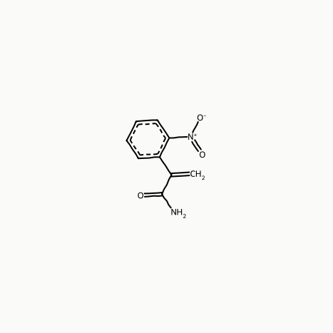 C=C(C(N)=O)c1ccccc1[N+](=O)[O-]